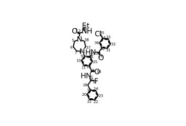 CCNC(=O)N1CCCN(c2ccc(C(=O)NC(F)Cc3ccccc3)cc2NC(=O)c2cccc(Cl)c2)CC1